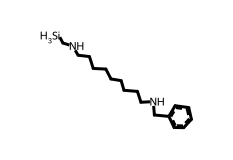 [SiH3]CNCCCCCCCCCNCc1ccccc1